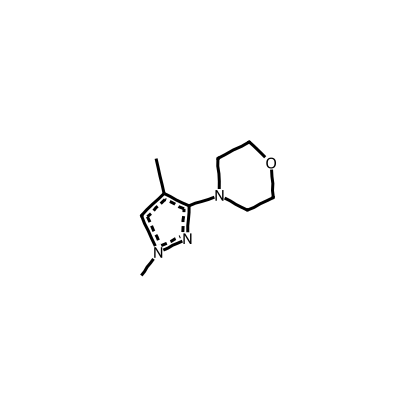 Cc1cn(C)nc1N1CCOCC1